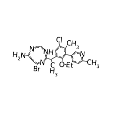 CCOc1c(C(C)c2nc(Br)cc(N)ncc[nH]2)cc(Cl)c(C)c1-c1ccc(C)nc1